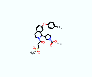 CC(C)(C)OC(=O)N1CCC(C2c3cc(Oc4ccc(C(F)(F)F)cc4)ccc3CCN2C(=O)CCS(C)(=O)=O)C1